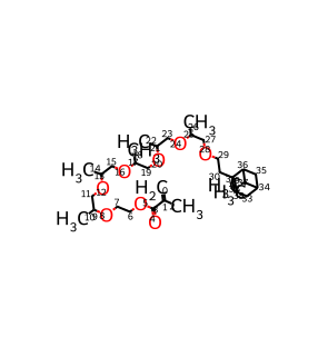 C=C(C)C(=O)OCCOC(C)COC(C)COC(C)COC(C)COC(C)COCCC1=CCC2CC1C2(C)C